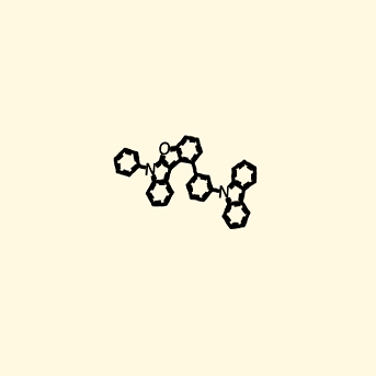 c1ccc(-n2c3ccccc3c3c4c(-c5cccc(-n6c7ccccc7c7ccccc76)c5)cccc4oc32)cc1